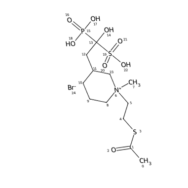 CC(=O)SCC[N+]1(C)CCCC(CC(O)(P(=O)(O)O)S(=O)(=O)O)C1.[Br-]